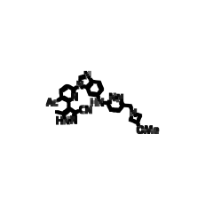 COC1CN(Cc2ccc(Nc3ccc4ncn(-c5ccc(C(C)=O)c(-c6c(C#N)n[nH]c6C)n5)c4c3)nn2)C1